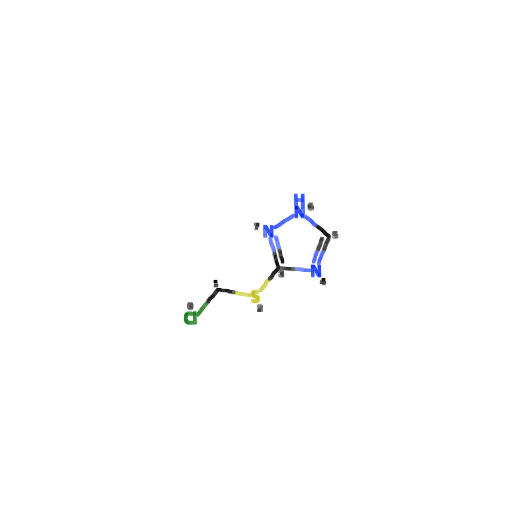 ClCSc1nc[nH]n1